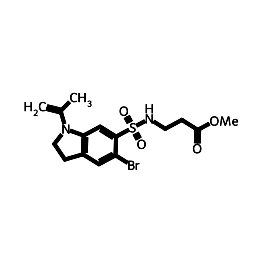 C=C(C)N1CCc2cc(Br)c(S(=O)(=O)NCCC(=O)OC)cc21